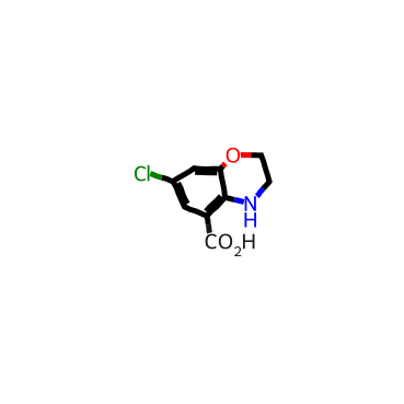 O=C(O)c1cc(Cl)cc2c1NCCO2